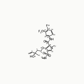 C=CC(C)(O)CCOc1c(S(=O)(=O)N=C)cn(C)c1C(=O)Nc1ccc(F)c(C(F)(F)F)c1